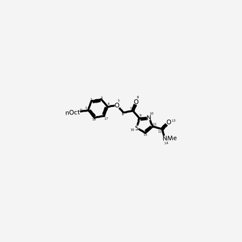 CCCCCCCCc1ccc(OCC(=O)c2nc(C(=O)NC)cs2)cc1